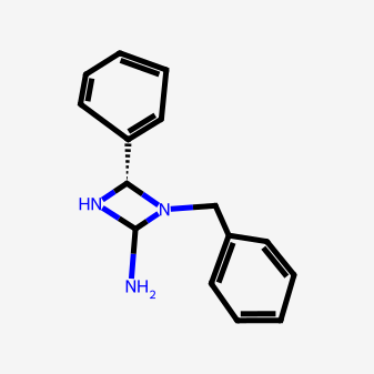 NC1N[C@H](c2ccccc2)N1Cc1ccccc1